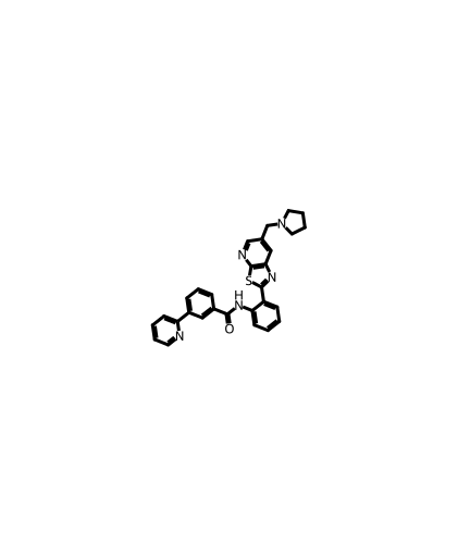 O=C(Nc1ccccc1-c1nc2cc(CN3CCCC3)cnc2s1)c1cccc(-c2ccccn2)c1